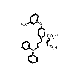 Cc1cccc(OC2=CCN(CCCN(c3ccccc3)c3ccccc3)CC2)c1.O=C(O)/C=C/C(=O)O